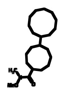 CON(C)C(=O)C1CCCCC(C2CCCCCCCCC2)CCC1